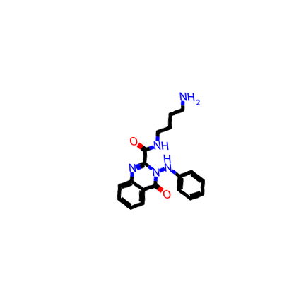 NCCCCNC(=O)c1nc2ccccc2c(=O)n1Nc1ccccc1